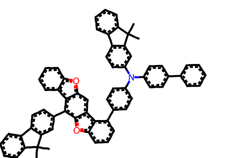 CC1(C)c2ccccc2-c2ccc(-c3c4oc5cccc(-c6ccc(N(c7ccc(-c8ccccc8)cc7)c7ccc8c(c7)C(C)(C)c7ccccc7-8)cc6)c5c4cc4oc5ccccc5c34)cc21